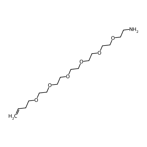 C=CCCOCCOCCOCCOCCOCCOCCN